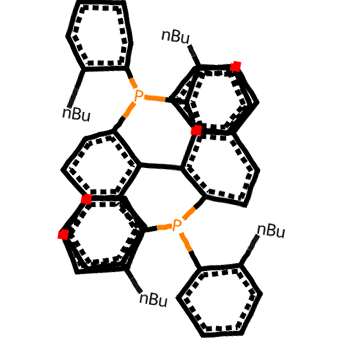 CCCCc1ccccc1P(c1ccccc1CCCC)c1ccc2ccccc2c1-c1c(P(c2ccccc2CCCC)c2ccccc2CCCC)ccc2ccccc12